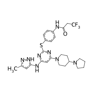 Cc1cc(Nc2cc(N3CCC(N4CCCC4)CC3)nc(Sc3ccc(NC(=O)CC(F)(F)F)cc3)n2)[nH]n1